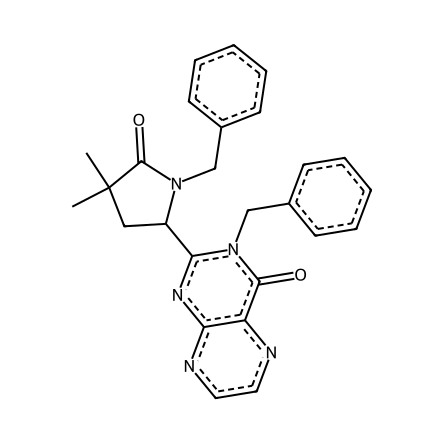 CC1(C)CC(c2nc3nccnc3c(=O)n2Cc2ccccc2)N(Cc2ccccc2)C1=O